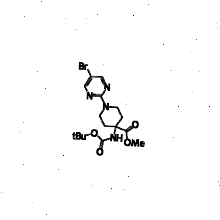 COC(=O)C1(NC(=O)OC(C)(C)C)CCN(c2ncc(Br)cn2)CC1